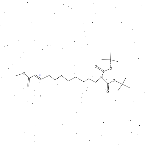 COC(=O)/C=C/CCCCCCCCN(C(=O)OC(C)(C)C)C(=O)OC(C)(C)C